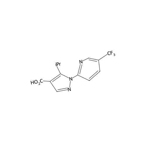 CC(C)c1c(C(=O)O)cnn1-c1ccc(C(F)(F)F)cn1